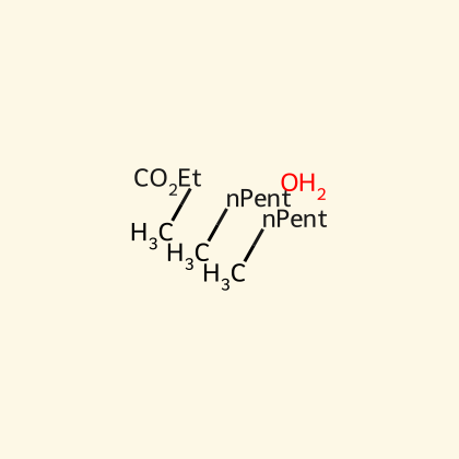 CCCCCC.CCCCCC.CCOC(C)=O.O